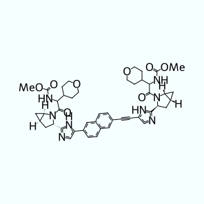 COC(=O)NC(C(=O)N1[C@@H]2C[C@@H]2C[C@H]1c1ncc(C#Cc2ccc3cc(-c4cnc([C@@H]5C[C@H]6C[C@H]6N5C(=O)C(NC(=O)OC)C5CCOCC5)[nH]4)ccc3c2)[nH]1)C1CCOCC1